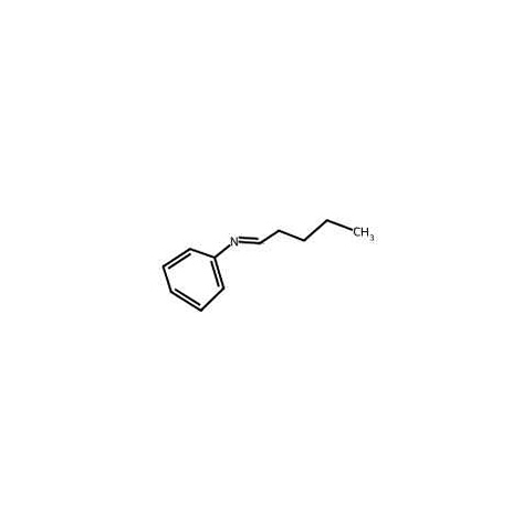 CCCC/[C]=N/c1ccccc1